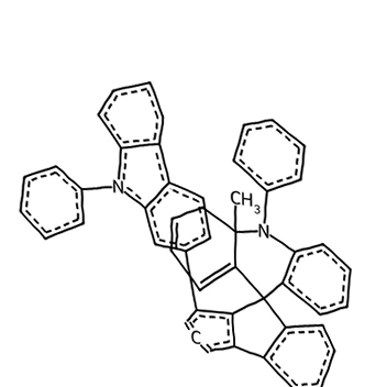 CC12CC=CC=C1C1(c3ccccc3-c3cccc(-c4ccc5c6ccccc6n(-c6ccccc6)c5c4)c31)c1ccccc1N2c1ccccc1